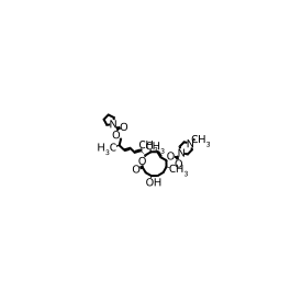 C/C(=C\C=C\[C@@H](C)COC(=O)N1CCCC1)[C@H]1OC(=O)C[C@@H](O)CC[C@@H](C)C(OC(=O)N2CCN(C)CC2)/C=C/[C@@H]1C